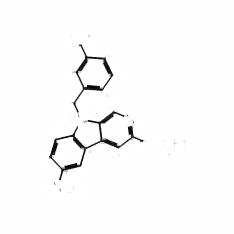 CCOC(=O)c1cc2c3cc([N+](=O)[O-])ccc3n(Cc3cccc(Cl)c3)c2cn1